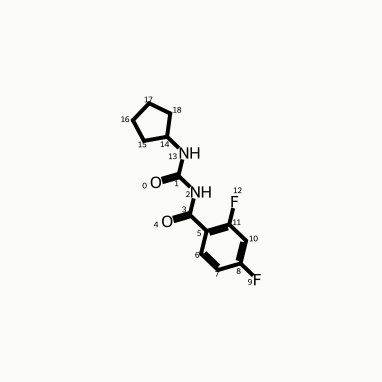 O=C(NC(=O)c1ccc(F)cc1F)NC1CCCC1